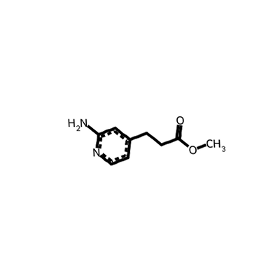 COC(=O)CCc1ccnc(N)c1